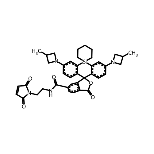 CC1CN(c2ccc3c(c2)[Si]2(CCCCC2)c2cc(N4CC(C)C4)ccc2C32OC(=O)c3ccc(C(=O)NCCN4C(=O)C=CC4=O)cc32)C1